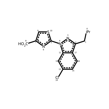 CC(C)Cc1nn(-c2nc(C(=O)O)cs2)c2cc(Cl)ccc12